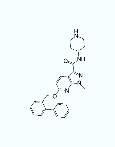 Cn1nc(C(=O)NC2CCNCC2)c2ccc(OCc3ccccc3-c3ccccc3)nc21